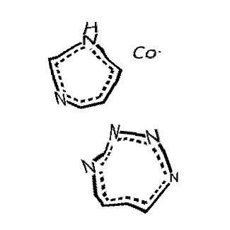 [Co].c1c[nH]cn1.c1cnnnn1